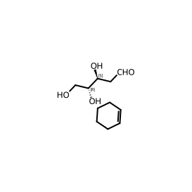 C1=CCCCC1.O=CC[C@H](O)[C@H](O)CO